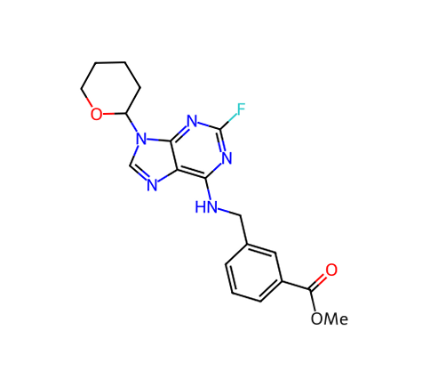 COC(=O)c1cccc(CNc2nc(F)nc3c2ncn3C2CCCCO2)c1